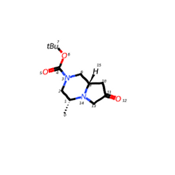 C[C@@H]1CN(C(=O)OC(C)(C)C)C[C@@H]2CC(=O)CN21